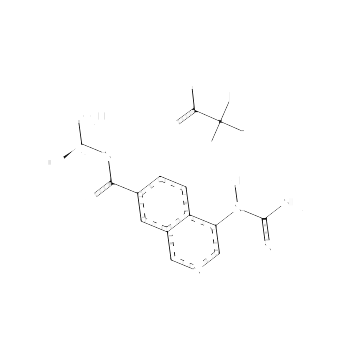 CC(C)[C@H](NC(=O)c1ccc2c(N(Cl)C(=N)N)cncc2c1)C(=O)O.O=C(O)C(F)(F)F